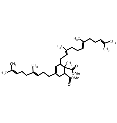 COC(=O)C1CC(CC/C=C(\C)CCC=C(C)C)=CC(C/C=C(\C)CC/C=C(\C)CCC=C(C)C)C1(C)C(=O)OC